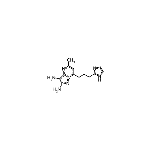 Cc1cc(CCCc2ncc[nH]2)n2nc(N)c(N)c2n1